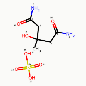 CC(O)(CC(N)=O)CC(N)=O.O=S(=O)(O)O